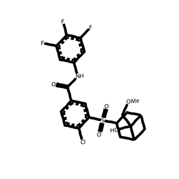 COCC1(O)C2CC1CC(S(=O)(=O)c1cc(C(=O)Nc3cc(F)c(F)c(F)c3)ccc1Cl)C2